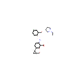 CCN1CC[C@@H](OCc2cc(F)ccc2S(=O)(=O)Nc2ccc3c(c2C(=O)O)OC[C@@H]2C[C@H]32)C1